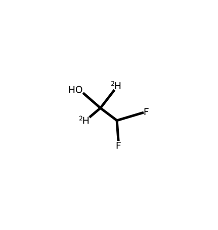 [2H]C([2H])(O)C(F)F